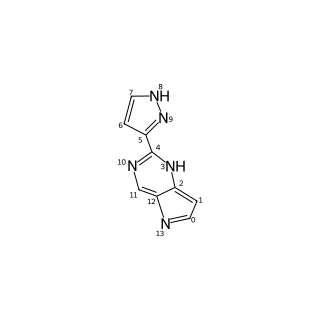 c1cc2[nH]c(-c3cc[nH]n3)ncc-2n1